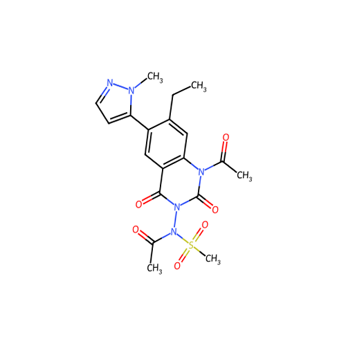 CCc1cc2c(cc1-c1ccnn1C)c(=O)n(N(C(C)=O)S(C)(=O)=O)c(=O)n2C(C)=O